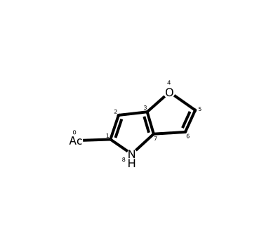 CC(=O)c1cc2occc2[nH]1